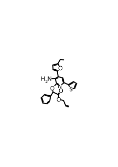 C=CCOC(=O)C(Oc1nc(-c2cccs2)cc(-c2ccc(CC)o2)c1N)c1ccccc1